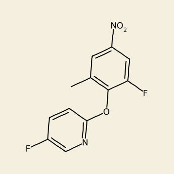 Cc1cc([N+](=O)[O-])cc(F)c1Oc1ccc(F)cn1